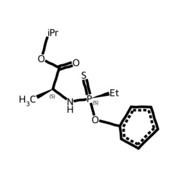 CC[P@](=S)(N[C@@H](C)C(=O)OC(C)C)Oc1ccccc1